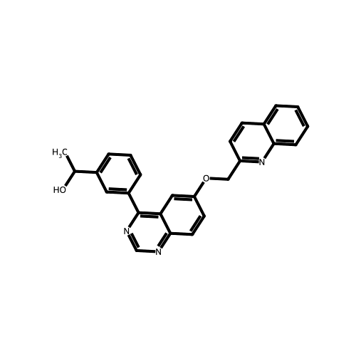 CC(O)c1cccc(-c2ncnc3ccc(OCc4ccc5ccccc5n4)cc23)c1